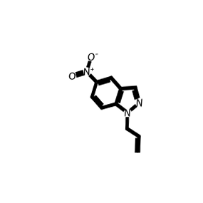 C=CCn1ncc2cc([N+](=O)[O-])ccc21